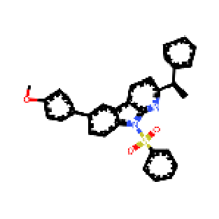 C=C(c1ccccc1)c1ccc2c3cc(-c4ccc(OC)cc4)ccc3n(S(=O)(=O)c3ccccc3)c2n1